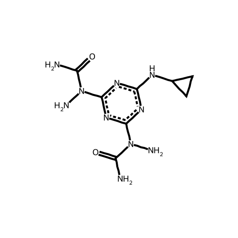 NC(=O)N(N)c1nc(NC2CC2)nc(N(N)C(N)=O)n1